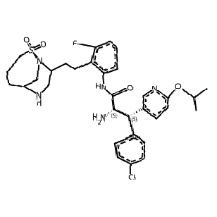 CC(C)Oc1ccc([C@H](c2ccc(Cl)cc2)[C@H](N)C(=O)Nc2cccc(F)c2CCC2CNC3CCCS(=O)(=O)N2C3)cn1